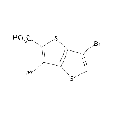 CC(C)c1c(C(=O)O)sc2c(Br)csc12